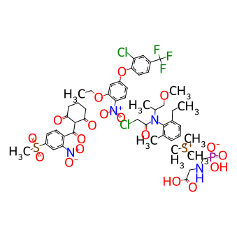 CCOc1cc(Oc2ccc(C(F)(F)F)cc2Cl)ccc1[N+](=O)[O-].CCc1cccc(C)c1N(C(=O)CCl)C(C)COC.CS(=O)(=O)c1ccc(C(=O)C2C(=O)CCCC2=O)c([N+](=O)[O-])c1.C[S+](C)C.O=C(O)CNCP(=O)([O-])O